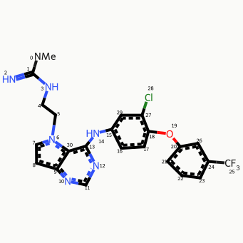 CNC(=N)NCCn1ccc2ncnc(Nc3ccc(Oc4cccc(C(F)(F)F)c4)c(Cl)c3)c21